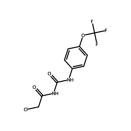 O=C(CCl)NC(=O)Nc1ccc(OC(F)(F)F)cc1